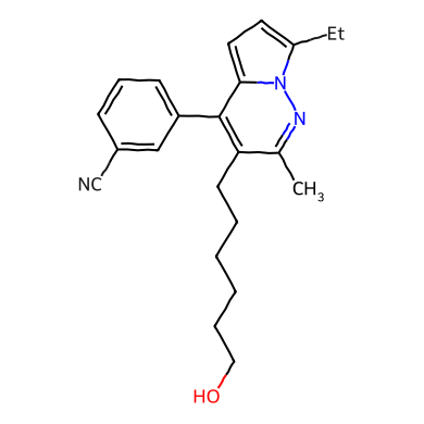 CCc1ccc2c(-c3cccc(C#N)c3)c(CCCCCCO)c(C)nn12